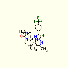 Cc1cc([C@H]2CN(C(=O)N(C)C)CC[C@H]2C)n2nc([C@H]3CC[C@H](C(F)(F)F)CC3)c(F)c2n1